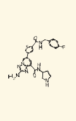 Nc1nc2c(C(=O)NC3CCNC3)cc(-c3csc(C(=O)NCc4ccc(F)cc4)c3)cn2n1